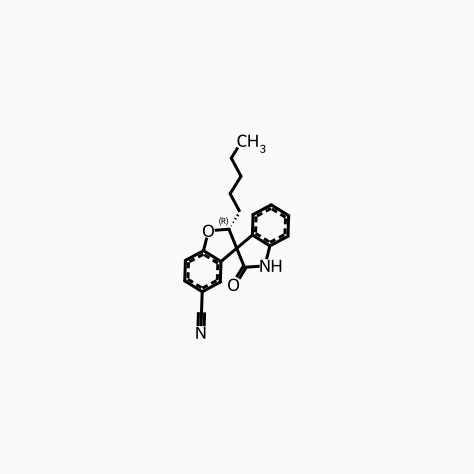 CCCCC[C@H]1Oc2ccc(C#N)cc2C12C(=O)Nc1ccccc12